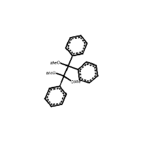 COC(OC)(c1ccccc1)C(OC)(c1ccccc1)c1ccccc1